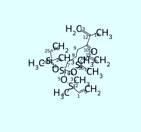 C=C[Si](C)(C)O[Si](CCCC(=O)C(=C)C)(O[Si](C)(C)C=C)O[Si](C)(C)C=C